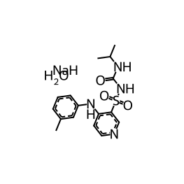 Cc1cccc(Nc2ccncc2S(=O)(=O)NC(=O)NC(C)C)c1.O.[NaH]